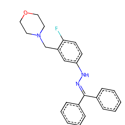 Fc1ccc(NN=C(c2ccccc2)c2ccccc2)cc1CN1CCOCC1